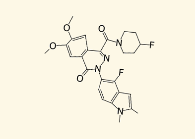 COc1cc2c(C(=O)N3CCC(F)CC3)nn(-c3ccc4c(cc(C)n4C)c3F)c(=O)c2cc1OC